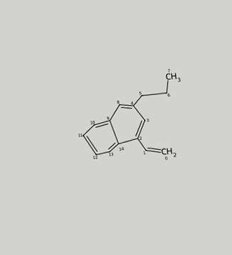 C=Cc1cc(CCC)cc2ccccc12